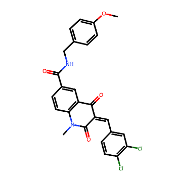 COc1ccc(CNC(=O)c2ccc3c(c2)C(=O)/C(=C/c2ccc(Cl)c(Cl)c2)C(=O)N3C)cc1